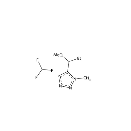 CCC(OC)c1cnnn1C.FC(F)F